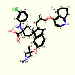 C[C@@H](COc1ccnc2c1[C@H](C)CCC2)C[C@H]1Cc2ccc(OC3(C)CN(C)C3)cc2C12CCC(Nc1cccc(Cl)c1)(C(=O)O)CC2